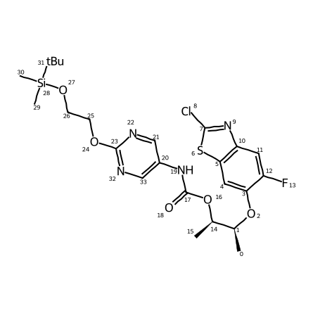 C[C@H](Oc1cc2sc(Cl)nc2cc1F)[C@@H](C)OC(=O)Nc1cnc(OCCO[Si](C)(C)C(C)(C)C)nc1